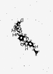 O=C(Nc1ccc(-n2c(=O)[nH]c3cc(NCC4CC4)ccc3c2=O)c(F)c1)NS(=O)(=O)c1ccc(Cl)s1